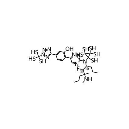 CCC[C@@H]([C@H](F)C(C)(CCC)NC)N(c1ncc(-c2ccc(-c3nnn(C(S)(S)S)n3)cc2O)nn1)C1(S)C(S)(S)C1(S)S